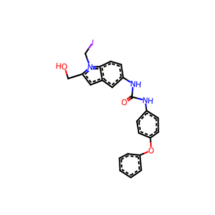 O=C(Nc1ccc(Oc2ccccc2)cc1)Nc1ccc2c(c1)cc(CO)n2CI